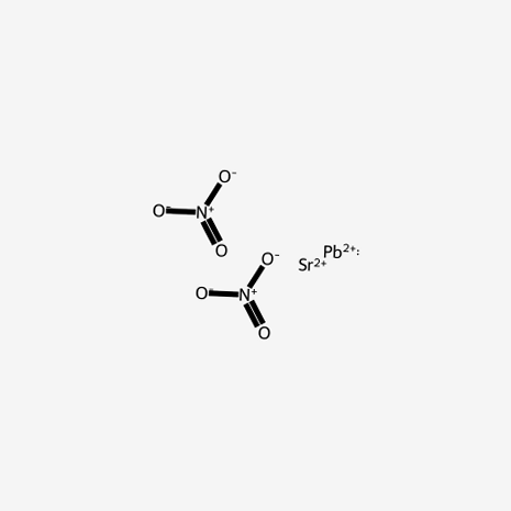 O=[N+]([O-])[O-].O=[N+]([O-])[O-].[Pb+2].[Sr+2]